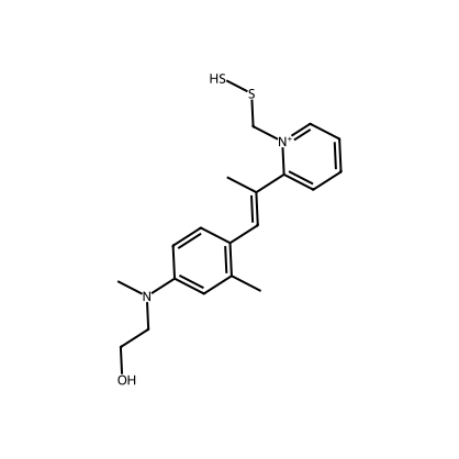 C/C(=C\c1ccc(N(C)CCO)cc1C)c1cccc[n+]1CSS